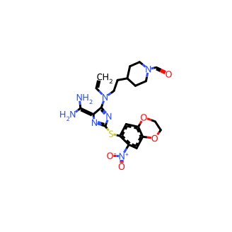 C=CN(CCC1CCN(C=O)CC1)C1=NC(Sc2cc3c(cc2[N+](=O)[O-])OCCO3)=NC1=C(N)N